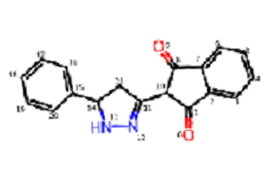 O=C1c2ccccc2C(=O)C1C1=NNC(c2ccccc2)C1